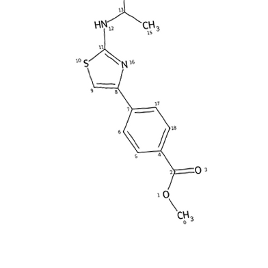 COC(=O)c1ccc(-c2csc(NC(C)C)n2)cc1